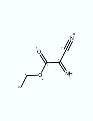 CCOC(=O)C(=N)C#N